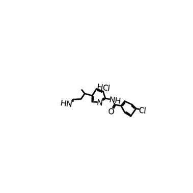 CC(CC=N)c1ccc(NC(=O)c2ccc(Cl)cc2)nc1.Cl